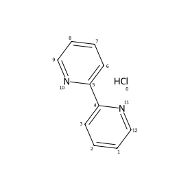 Cl.c1ccc(-c2ccccn2)nc1